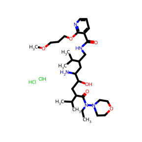 CCN(C(=O)C(CC(O)C(N)CC(CNC(=O)c1cccnc1OCCCOC)C(C)C)C(C)C)N1CCOCC1.Cl.Cl